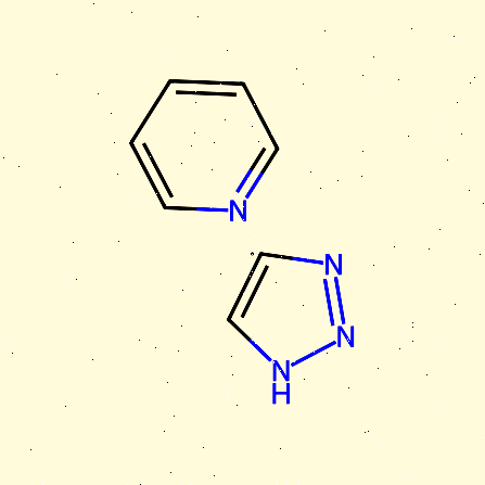 [c]1c[nH]nn1.c1ccncc1